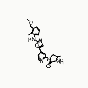 COCc1cccc(Nc2ncc(-c3ccnc(N4CC(C)NC4=O)c3)o2)c1C